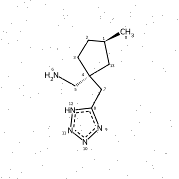 C[C@@H]1CC[C@](CN)(Cc2nnn[nH]2)C1